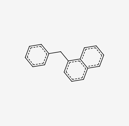 c1ccc(Cc2cccc3ccccc23)cc1